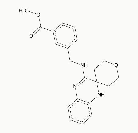 COC(=O)c1cccc(CNC2=Nc3ccccc3NC23CCOCC3)c1